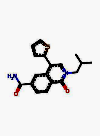 CC(C)Cn1[c]c(-c2cccs2)c2cc(C(N)=O)ccc2c1=O